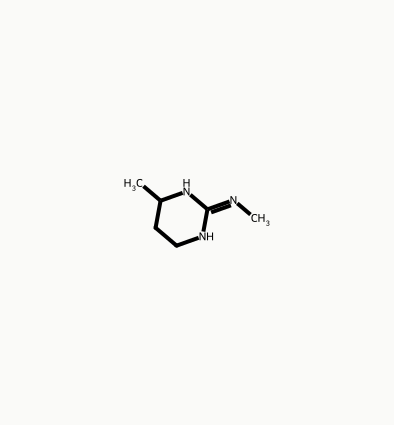 C/N=C1\NCCC(C)N1